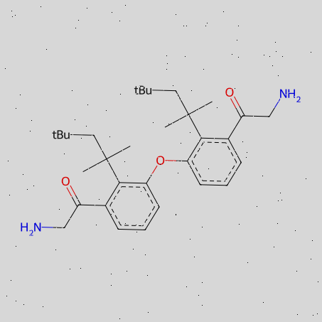 CC(C)(C)CC(C)(C)c1c(Oc2cccc(C(=O)CN)c2C(C)(C)CC(C)(C)C)cccc1C(=O)CN